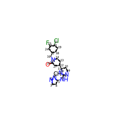 Cn1nccc1Nc1nccc(-c2ccn(Cc3ccc(Cl)c(F)c3)c(=O)c2)n1